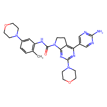 Cc1ccc(N2CCOCC2)cc1NC(=O)N1CCc2c(-c3cnc(N)nc3)nc(N3CCOCC3)nc21